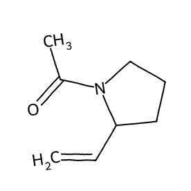 C=CC1CCCN1C(C)=O